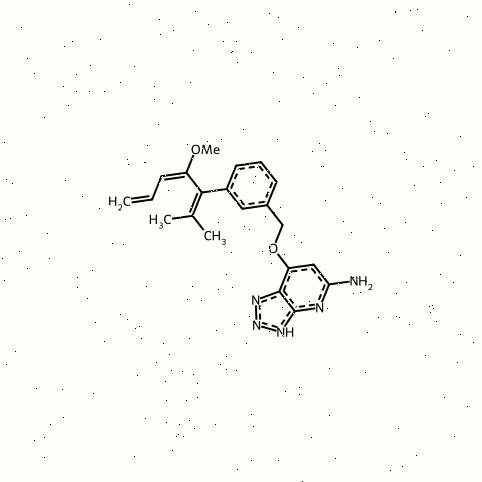 C=C/C=C(/OC)C(=C(C)C)c1cccc(COc2cc(N)nc3[nH]nnc23)c1